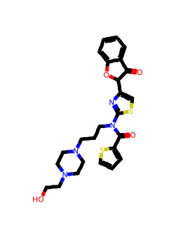 O=C1c2ccccc2OC1c1csc(N(CCCN2CCN(CCO)CC2)C(=O)c2cccs2)n1